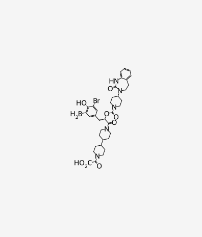 Bc1cc(C[C@@H](OC(=O)N2CCC(N3CCc4ccccc4NC3=O)CC2)C(=O)N2CCC(C3CCN(C(=O)C(=O)O)CC3)CC2)cc(Br)c1O